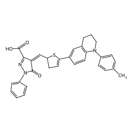 Cc1ccc(N2CCCc3cc(C4=CCC(/C=C5\C(=O)N(c6ccccc6)N=C5C(=O)O)S4)ccc32)cc1